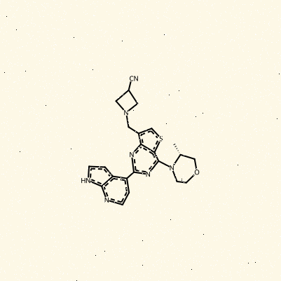 C[C@@H]1COCCN1c1nc(-c2ccnc3[nH]ccc23)nc2c(CN3CC(C#N)C3)csc12